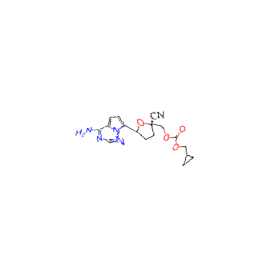 N#C[C@@]1(COC(=O)OCC2CC2)CCC(c2ccc3c(N)ncnn23)O1